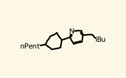 CCCCCC1CCC(c2ccc(CC(C)CC)cn2)CC1